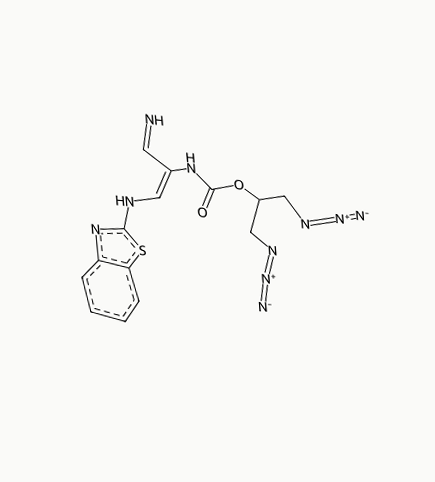 [N-]=[N+]=NCC(CN=[N+]=[N-])OC(=O)N/C(C=N)=C/Nc1nc2ccccc2s1